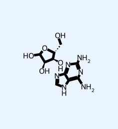 Nc1nc(N)c2[nH]cnc2n1.OC[C@H]1OC(O)[C@H](O)[C@@H]1O